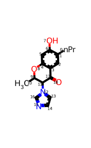 CCCc1cc2c(cc1O)OC(C)C(n1ccnc1)C2=O